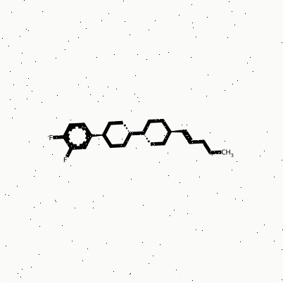 CCCC=C[C@H]1CC[C@H]([C@H]2CC[C@H](c3ccc(F)c(F)c3)CC2)CC1